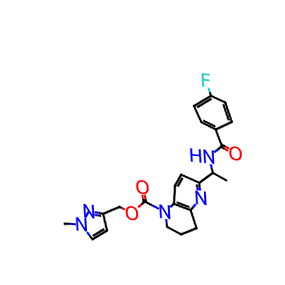 CC(NC(=O)c1ccc(F)cc1)c1ccc2c(n1)CCCN2C(=O)OCc1ccn(C)n1